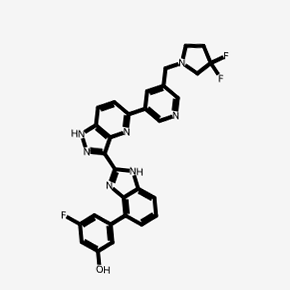 Oc1cc(F)cc(-c2cccc3[nH]c(-c4n[nH]c5ccc(-c6cncc(CN7CCC(F)(F)C7)c6)nc45)nc23)c1